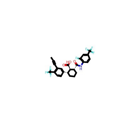 CC#Cc1cc([C@H]2CCC[C@@H](C(=O)Nc3ccc(C(F)(F)F)cc3F)[C@@H]2C(=O)O)ccc1C(F)(F)F